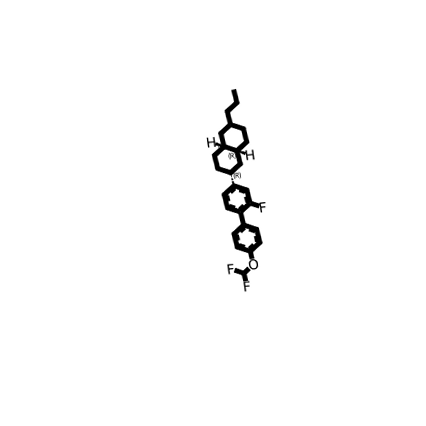 CCCC1CC[C@@H]2C[C@H](c3ccc(-c4ccc(OC(F)F)cc4)c(F)c3)CC[C@@H]2C1